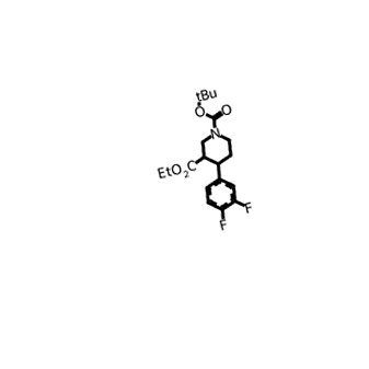 CCOC(=O)C1CN(C(=O)OC(C)(C)C)CCC1c1ccc(F)c(F)c1